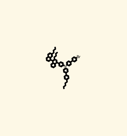 CCCCCc1ccc(-c2ccc(N(c3ccc(-c4ccc(Br)cc4)cc3)c3ccc(-c4cc(CCCC)c(-c5cccc6ccc(CCCC)cc56)c5ccccc45)cc3)cc2)cc1